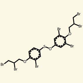 BrCC(Br)COc1ccc(SOc2cc(Br)c(OCC(Br)CBr)c(Br)c2)cc1Br